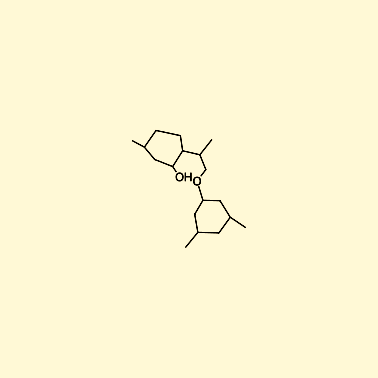 CC1CC(C)CC(OCC(C)C2CCC(C)CC2O)C1